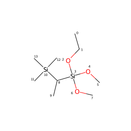 CCO[Si](OC)(OC)C(C)[Si](C)(C)C